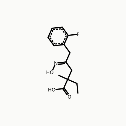 CCC(C)(CC(Cc1ccccc1F)=NO)C(=O)O